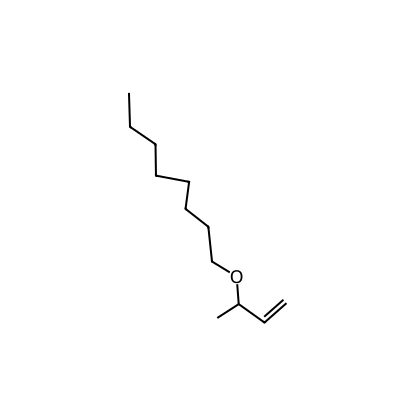 C=CC(C)OCCCCCCCC